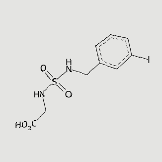 O=C(O)CNS(=O)(=O)NCc1cccc(I)c1